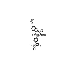 CC1(CSc2ccc3c(c2)CN(C(=O)OC(C)(C)C)C3C(=O)Nc2ccc(C(O)(C(F)(F)F)C(F)(F)F)cc2)CC1